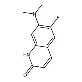 CN(C)c1cc2[nH]c(=O)ccc2cc1F